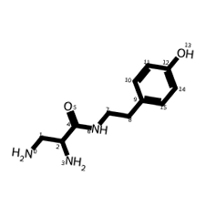 NCC(N)C(=O)NCCc1ccc(O)cc1